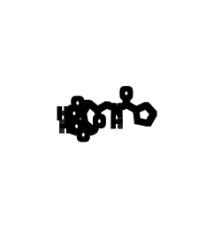 O=C(NCC1OC2OCCCOC1C(O)C2O)C1CCCC1